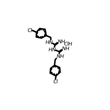 Cl.N=C(NCc1ccc(Cl)cc1)NC(=N)NCc1ccc(Cl)cc1